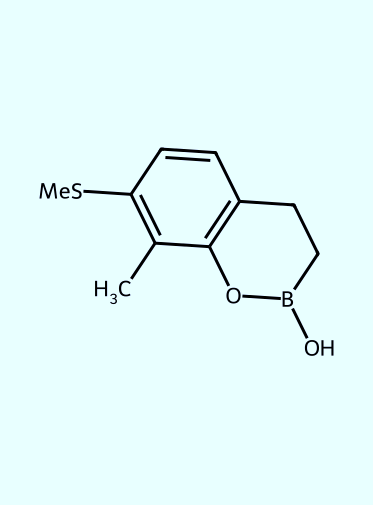 CSc1ccc2c(c1C)OB(O)CC2